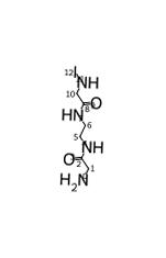 NCC(=O)NCCNC(=O)CNI